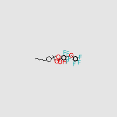 CCCCCC1CCC(C2(C)COC(O)(c3cc(F)c(C(F)(F)Oc4cc(F)c(F)c(F)c4)c(F)c3)OC2)CC1